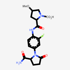 COC1CC(C(=O)Nc2ccc(N3C(=O)CCC3C(N)=O)cc2F)N(C(=O)O)C1